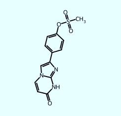 CS(=O)(=O)Oc1ccc(-c2cn3ccc(=O)[nH]c3n2)cc1